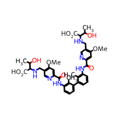 COc1cc(C(=O)Nc2cccc(-c3cccc(NC(=O)c4cc(OC)c(CNC(C(=O)O)C(C)O)cn4)c3C)c2C)ncc1CNC(C(=O)O)C(C)O